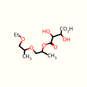 CCOCC(C)OCC(C)OC(=O)C(O)C(O)C(=O)O